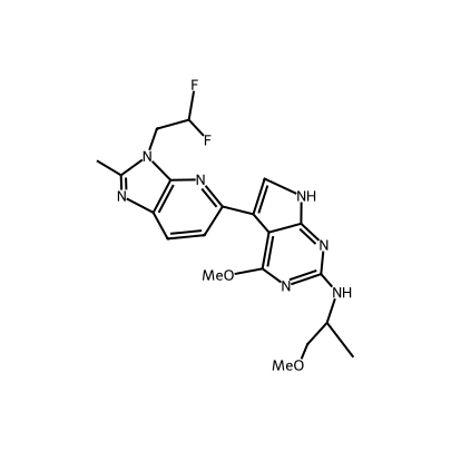 COCC(C)Nc1nc(OC)c2c(-c3ccc4nc(C)n(CC(F)F)c4n3)c[nH]c2n1